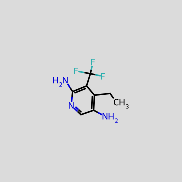 CCc1c(N)cnc(N)c1C(F)(F)F